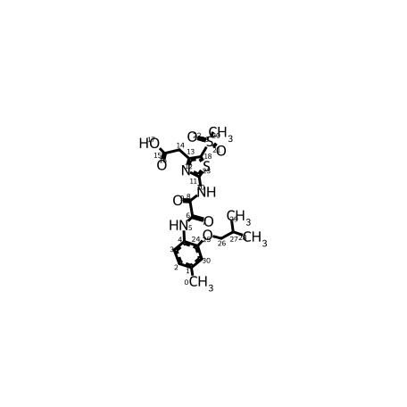 Cc1ccc(NC(=O)C(=O)Nc2nc(CC(=O)O)c(S(C)(=O)=O)s2)c(OCC(C)C)c1